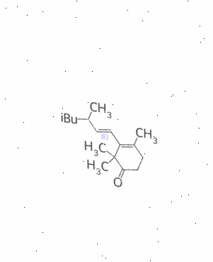 CCC(C)C(C)/C=C/C1=C(C)CCC(=O)C1(C)C